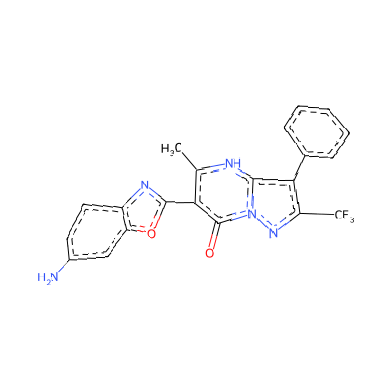 Cc1[nH]c2c(-c3ccccc3)c(C(F)(F)F)nn2c(=O)c1-c1nc2ccc(N)cc2o1